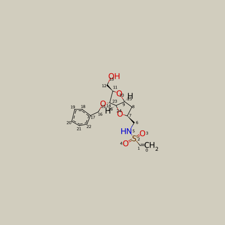 C=CS(=O)(=O)NC[C@@H]1C[C@@H]2O[C@H](CO)[C@@H](OCc3ccccc3)[C@@H]2O1